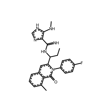 CCC(NC(=N)c1nc[nH]c1NC)c1cc2cccc(C)c2c(=O)n1-c1ccc(F)cc1